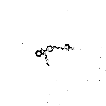 CCOCCn1c(N2CCN(CCCCn3ccc(Br)n3)CC2)nc2ccccc21